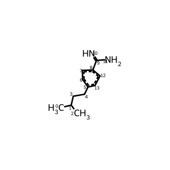 CC(C)CCc1ccc(C(=N)N)cc1